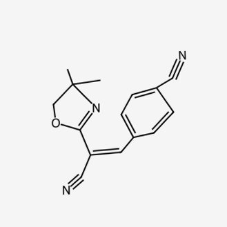 CC1(C)COC(C(C#N)=Cc2ccc(C#N)cc2)=N1